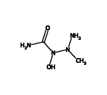 CN(N)N(O)C(N)=O